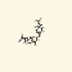 CC(C)N1CC2(CCN(SCCC(C)N3CCC4(CC3)CN(C(C)C)C4)CC2)C1